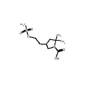 CC1(C)CC(CCOS(C)(=O)=O)CN1C(=O)O